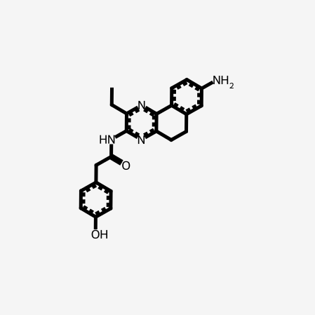 CCc1nc2c(nc1NC(=O)Cc1ccc(O)cc1)CCc1cc(N)ccc1-2